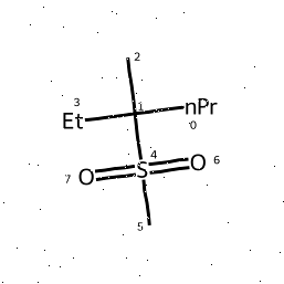 CCCC(C)(CC)S(C)(=O)=O